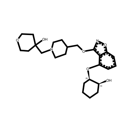 O[C@H]1CCCC[C@H]1Oc1cccc2onc(OCC3CCN(CC4(O)CCOCC4)CC3)c12